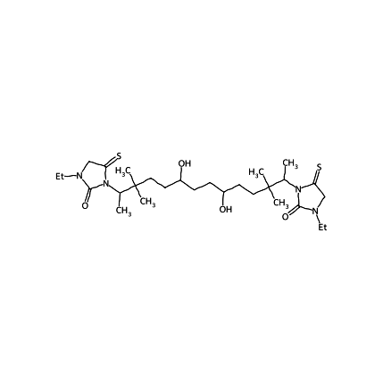 CCN1CC(=S)N(C(C)C(C)(C)CCC(O)CCC(O)CCC(C)(C)C(C)N2C(=O)N(CC)CC2=S)C1=O